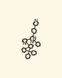 c1ccc(-c2nc(-c3ccc(-c4ccncc4)cc3)cc(-c3cccnc3-c3cccc4c3-c3ccccc3C4(c3ccccc3)c3ccccc3)n2)cc1